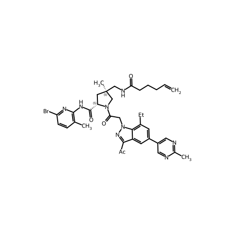 C=CCCCC(=O)NC[C@]1(C)C[C@@H](C(=O)Nc2nc(Br)ccc2C)N(C(=O)Cn2nc(C(C)=O)c3cc(-c4cnc(C)nc4)cc(CC)c32)C1